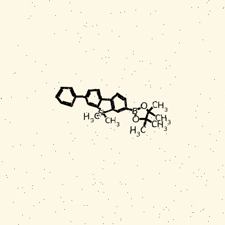 CC1(C)OB(c2ccc3c(c2)[Si](C)(C)c2cc(-c4ccccc4)ccc2-3)OC1(C)C